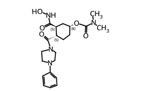 CN(C)C(=O)O[C@@H]1CC[C@H](C(=O)N2CCN(c3ccccc3)CC2)[C@@H](C(=O)NO)C1